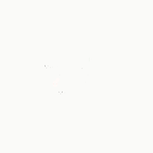 COC(=O)c1cc(Br)c(C2CC2)cc1OC